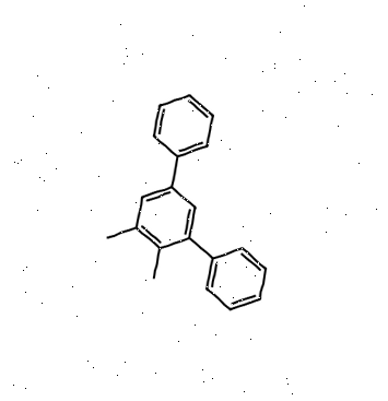 Cc1cc(-c2ccccc2)cc(-c2ccccc2)c1C